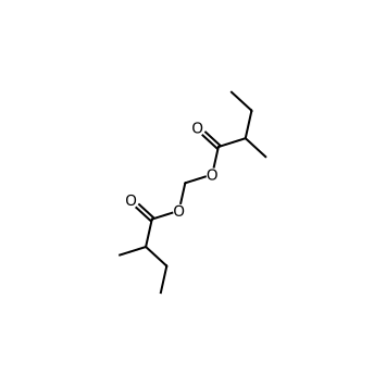 CCC(C)C(=O)OCOC(=O)C(C)CC